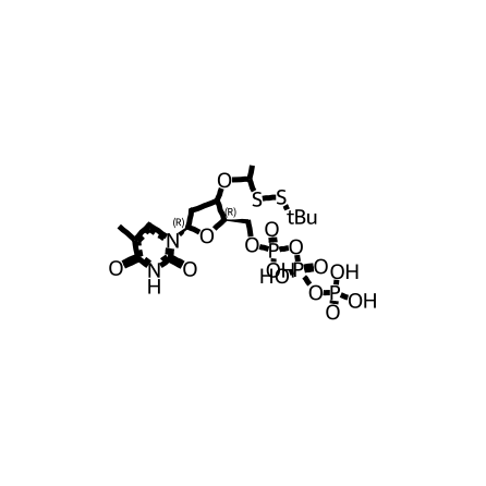 Cc1cn([C@H]2CC(OC(C)SSC(C)(C)C)[C@@H](COP(=O)(O)OP(=O)(O)OP(=O)(O)O)O2)c(=O)[nH]c1=O